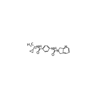 C[C@H](NC(=O)c1ccc(NC(=O)N2Cc3cccnc3C2)cc1)C1CC1